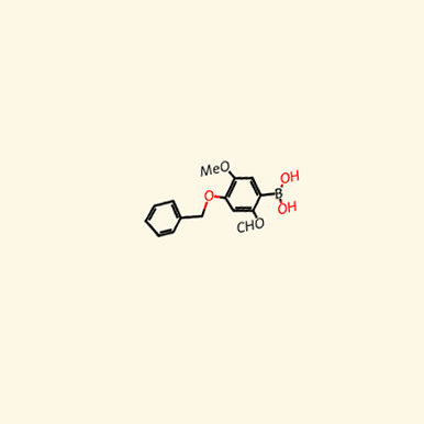 COc1cc(B(O)O)c(C=O)cc1OCc1ccccc1